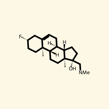 CNC[C@]1(O)CC[C@H]2[C@@H]3CC=C4C[C@@H](F)CC[C@]4(C)[C@H]3CC[C@@]21C